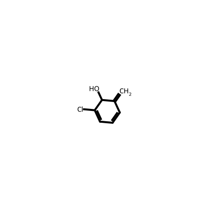 C=C1C=CC=C(Cl)C1O